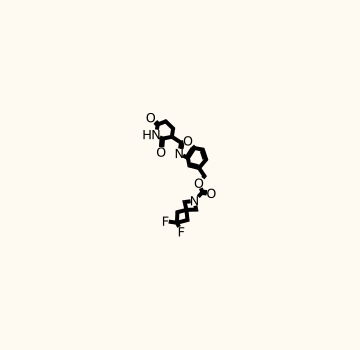 O=C1CCC(c2nc3cc(COC(=O)N4CC5(C4)CC(F)(F)C5)ccc3o2)C(=O)N1